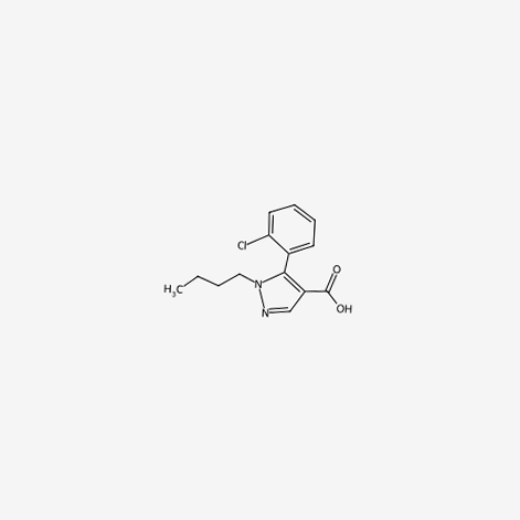 CCCCn1ncc(C(=O)O)c1-c1ccccc1Cl